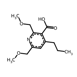 CCCc1cc(COC)nc(COC)c1C(=O)O